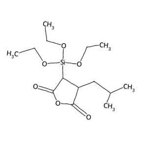 CCO[Si](OCC)(OCC)C1C(=O)OC(=O)C1CC(C)C